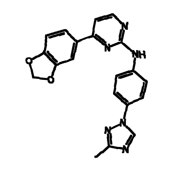 Cc1ncn(-c2ccc(Nc3nccc(-c4ccc5c(c4)OCO5)n3)cc2)n1